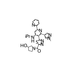 CC(C)Nc1cc(-c2ccccn2)nc(-c2cnn(C)c2)c1-c1nnc(C(=O)N2CC[C@@H](O)C2)s1